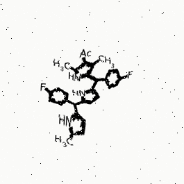 CC(=O)c1c(C)[nH]c(C(c2ccc(F)cc2)c2ccc(C(c3ccc(F)cc3)c3ccc(C)[nH]3)[nH]2)c1C